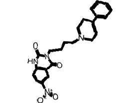 O=c1[nH]c2ccc([N+](=O)[O-])cc2c(=O)n1CCCCN1CC=C(c2ccccc2)CC1